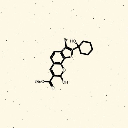 COC(=O)C1=Cc2ccc3c(Br)c(C4(O)CCCCC4)sc3c2OC1O